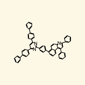 c1ccc(-c2ccc(-c3cc(-c4ccc(-c5ccccc5)cc4)nc(-c4ccc(-c5cccc6c5ccc5nc(-c7ccccc7)cc(-c7ccccc7)c56)cc4)n3)cc2)cc1